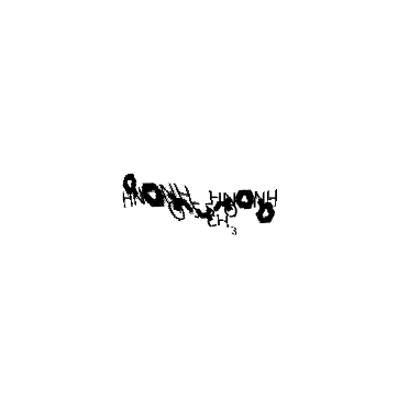 CC(CSCCC(=O)Nc1ccc(Nc2ccccc2)cc1)SCCC(=O)Nc1ccc(Nc2ccccc2)cc1